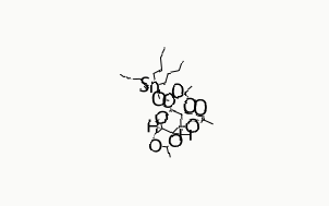 CCC[CH2][Sn]([CH2]CCC)([CH2]CCC)[O]OC1O[C@@H]2COC(C)O[C@H]2[C@H](OC(C)=O)[C@H]1OC(C)=O